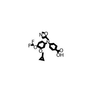 O=C(O)c1ccc(N(Cc2cnco2)c2ccc(OC(F)F)c(OCC3CC3)c2)cc1